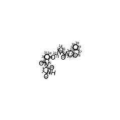 O=C1CCC(N2Cc3c(OCCN4CCCC4C(=O)N4CCC5(CC4)OCCc4ccccc45)cccc3C2=O)C(=O)N1